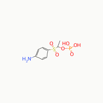 CC(OP(=O)(O)O)S(=O)(=O)c1ccc(N)cc1